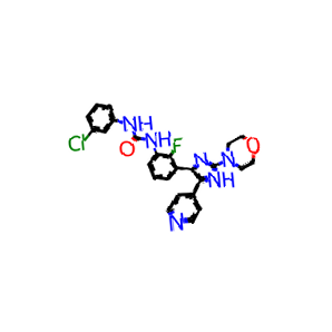 O=C(Nc1cccc(Cl)c1)Nc1cccc(-c2nc(N3CCOCC3)[nH]c2-c2ccncc2)c1F